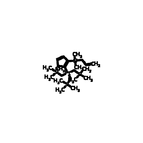 C=CC[Si](C)(C)C1=[C]([Pt]([CH2][Si](C)(C)C)([CH2][Si](C)(C)C)[CH2][Si](C)(C)C)CC=C1